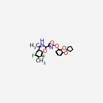 Cc1c(F)cc([C@@H](C)NC(=O)c2coc(Oc3cccc4c3OC3(CCCC3)O4)n2)cc1F